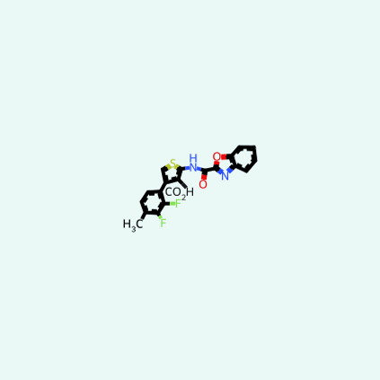 Cc1ccc(-c2csc(NC(=O)c3nc4ccccc4o3)c2C(=O)O)c(F)c1F